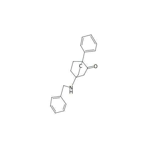 O=C1CC2(NCc3ccccc3)CCC1(c1ccccc1)CC2